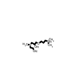 CN(CCO)CC(O)COCCC[SiH](C)C